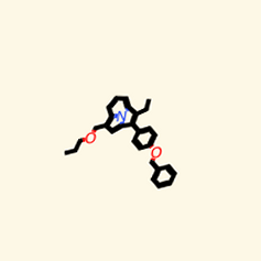 CCCOCc1cc2c(-c3ccc(OCc4ccccc4)cc3)c(CC)c3cccc1n32